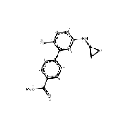 COC(=O)c1ccc(-c2nc(NC3CC3)ncc2Cl)cc1